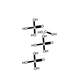 O=C(O)O.O=P(O)(O)O.O=P(O)(O)O.O=P(O)(O)O